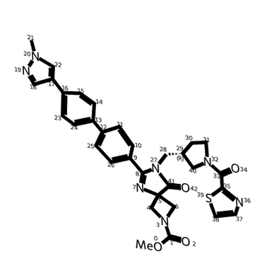 COC(=O)N1CC2(C1)N=C(c1ccc(-c3ccc(-c4cnn(C)c4)cc3)cc1)N(C[C@@H]1CCN(C(=O)c3nccs3)C1)C2=O